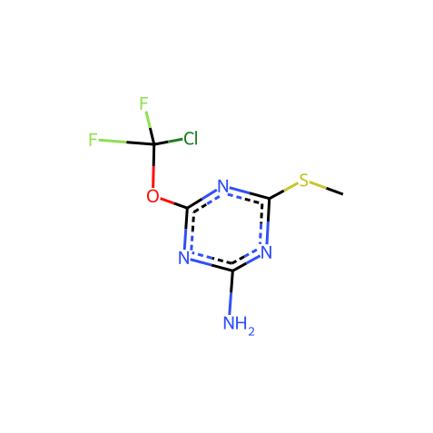 CSc1nc(N)nc(OC(F)(F)Cl)n1